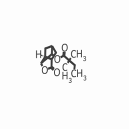 CCC(C)(C)C(=O)OC1C2CC3C(=O)OC1[C@H]3C2